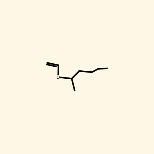 C=COC(C)CCCC